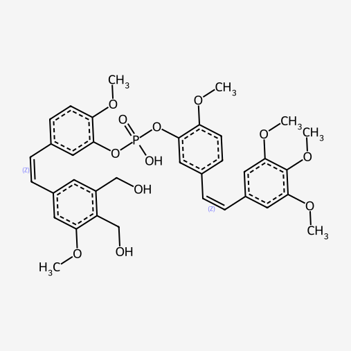 COc1ccc(/C=C\c2cc(CO)c(CO)c(OC)c2)cc1OP(=O)(O)Oc1cc(/C=C\c2cc(OC)c(OC)c(OC)c2)ccc1OC